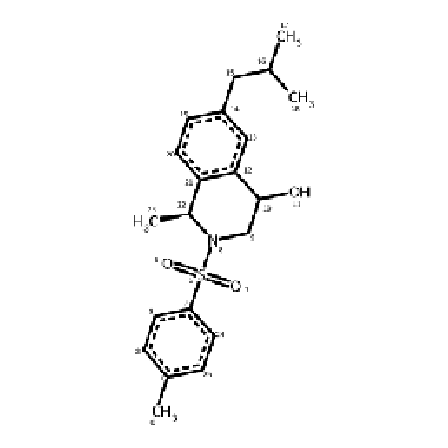 Cc1ccc(S(=O)(=O)N2CC(O)c3cc(CC(C)C)ccc3[C@@H]2C)cc1